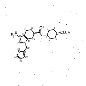 O=C(C[C@H]1CC[C@H](C(=O)O)CC1)N1CCc2c(C(F)(F)F)nn(Cc3cccs3)c2C1